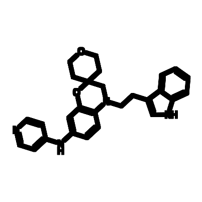 c1ccc2c(CCN3CC4(CCOCC4)Oc4cc(Nc5ccncc5)ccc43)c[nH]c2c1